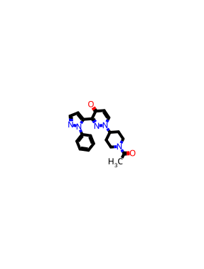 CC(=O)N1CCC(n2ccc(=O)c(-c3ccnn3-c3ccccc3)n2)CC1